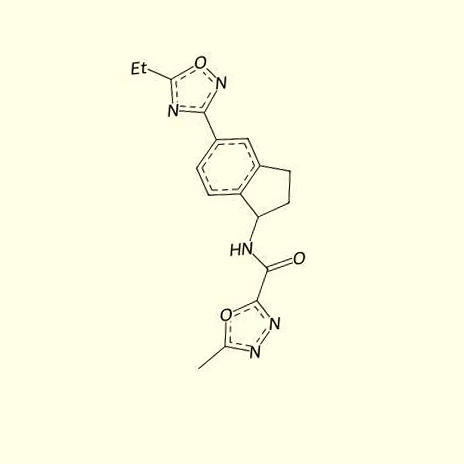 CCc1nc(-c2ccc3c(c2)CCC3NC(=O)c2nnc(C)o2)no1